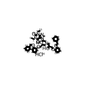 CCn1c(=O)c2c(ncn2CCN(CC(O)COc2ccccc2OCc2ccccc2)CC(O)COc2ccccc2OCc2ccccc2)n(CC)c1=O.Cl